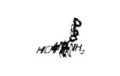 Nc1ncnc2c1c(-c1ccc3ccc(Oc4ccccc4)nc3c1)cn2C1CC(O)C1